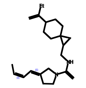 C=C(CC)C1CCC2(CC1)CC2CNC(=C)N1CC/C(=C\C=C/C)C1